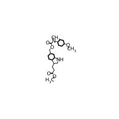 COC(=O)CCC1CNc2cc(COC(=O)N(C)c3ccc(OC)cc3)ccc21